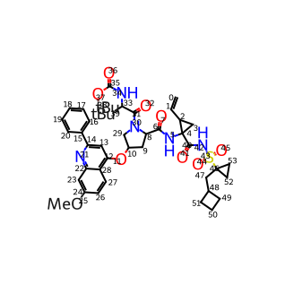 C=CC1CC1(NC(=O)C1CC(Oc2cc(-c3ccccc3)nc3cc(OC)ccc23)CN1C(=O)C(NC(=O)OC(C)(C)C)C(C)(C)C)C(=O)NS(=O)(=O)C1(CC2CCC2)CC1